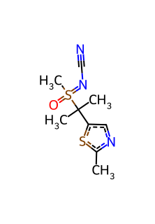 Cc1ncc(C(C)(C)S(C)(=O)=NC#N)s1